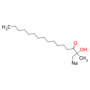 CCCCCCCCCCCCCC(=O)C(C)(O)[CH2][Na]